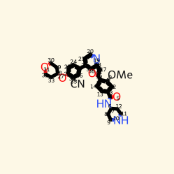 COc1cc(C(=O)NC2CCNCC2)ccc1-c1cc2nccc(-c3ccc(OC4CCOCC4)c(C#N)c3)c2o1